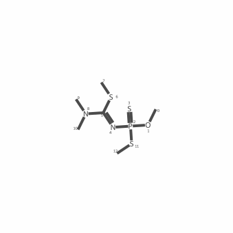 COP(=S)(N=C(SC)N(C)C)SC